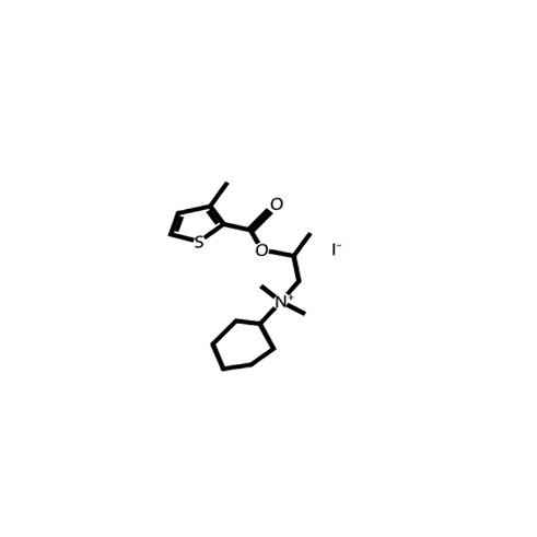 Cc1ccsc1C(=O)OC(C)C[N+](C)(C)C1CCCCC1.[I-]